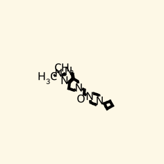 CN(C)c1ncc2c(n1)CCN(CC(=O)N1CCN(C3CCC3)CC1)C2